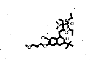 CCOP(=O)(OCC)C(CC)(C(=O)CC1NC(C(C)(C)C)Cc2cc(OCCCOC)c(Cl)cc21)N(C)C